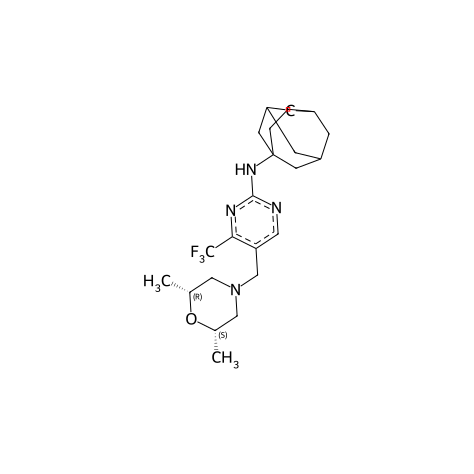 C[C@@H]1CN(Cc2cnc(NC34CCC5CC(CC(C5)C3)C4)nc2C(F)(F)F)C[C@H](C)O1